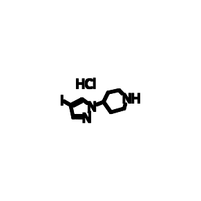 Cl.Ic1cnn(C2CCNCC2)c1